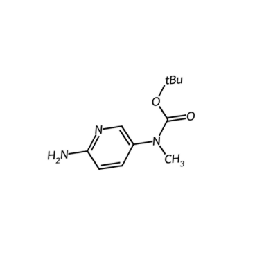 CN(C(=O)OC(C)(C)C)c1ccc(N)nc1